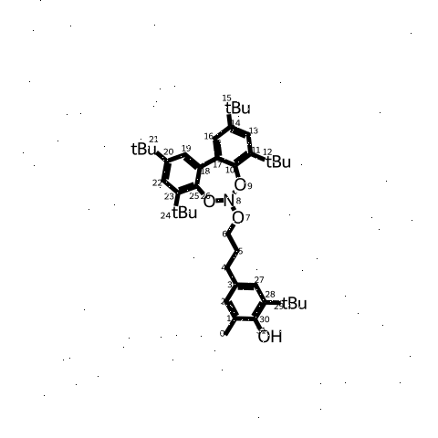 Cc1cc(CCCOn2oc3c(C(C)(C)C)cc(C(C)(C)C)cc3c3cc(C(C)(C)C)cc(C(C)(C)C)c3o2)cc(C(C)(C)C)c1O